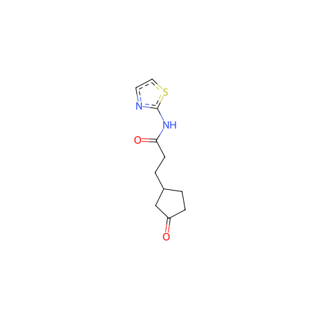 O=C1CCC(CCC(=O)Nc2nccs2)C1